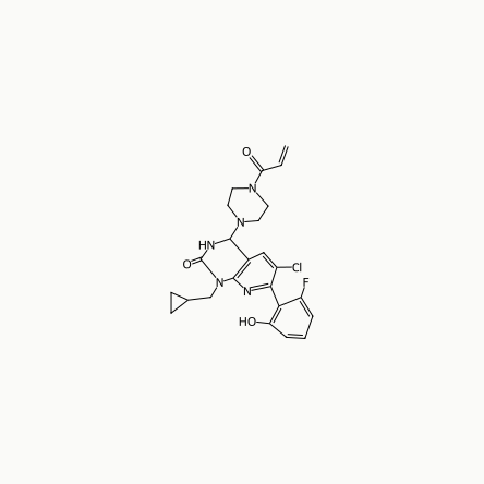 C=CC(=O)N1CCN(C2NC(=O)N(CC3CC3)c3nc(-c4c(O)cccc4F)c(Cl)cc32)CC1